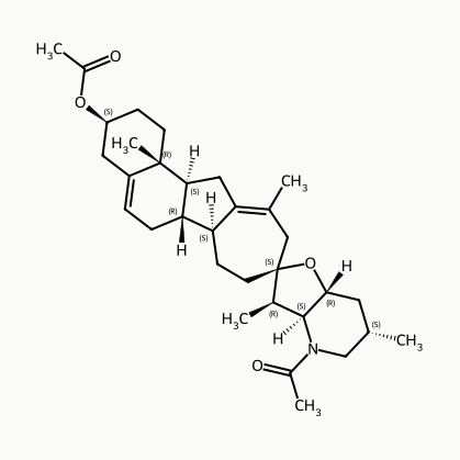 CC(=O)O[C@H]1CC[C@@]2(C)C(=CC[C@H]3[C@@H]4CC[C@@]5(CC(C)=C4C[C@@H]32)O[C@@H]2C[C@H](C)CN(C(C)=O)[C@H]2[C@H]5C)C1